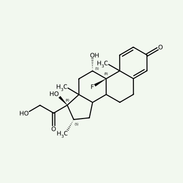 C[C@H]1CC2C3CCC4=CC(=O)C=CC4(C)[C@@]3(F)[C@@H](O)CC2(C)[C@@]1(O)C(=O)CO